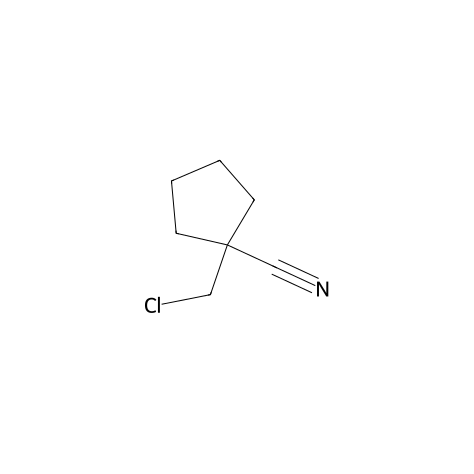 N#CC1(CCl)CCCC1